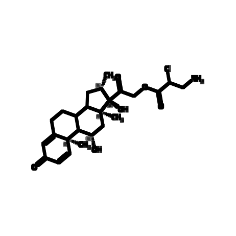 C[C@H]1CC2C3CCC4=CC(=O)C=C[C@]4(C)C3[C@@H](O)C[C@]2(C)[C@@]1(O)C(=O)COC(=O)C(Cl)CN